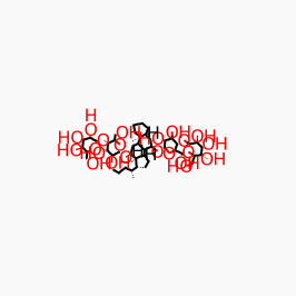 CCC[C@@H](C)[C@H]1CC[C@H]2C3C(O[C@@H]4OC(CO)[C@@H](OC5OC(CO)[C@@H](O)[C@H](O)[C@@H]5O)C(O)[C@@H]4O)C[C@@H]4CCCC[C@]4(C)[C@H]3C[C@H](O[C@@H]3OC(CO)[C@@H](O[C@H]4OC(CO)[C@@H](O)[C@H](O)C4O)C(O)[C@@H]3O)[C@]12C